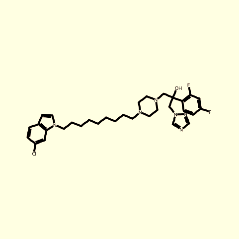 OC(CN1CCN(CCCCCCCCCn2ccc3ccc(Cl)cc32)CC1)(Cn1cncn1)c1ccc(F)cc1F